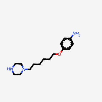 Nc1ccc(OCCCCCCN2CCNCC2)cc1